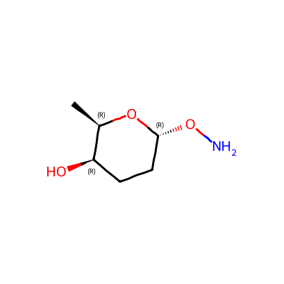 C[C@H]1O[C@H](ON)CC[C@H]1O